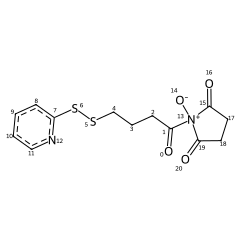 O=C(CCCSSc1ccccn1)[N+]1([O-])C(=O)CCC1=O